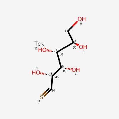 OC[C@@H](O)[C@@H](O)[C@H](O)[C@@H](O)C=S.[Tc]